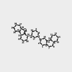 c1cc(-c2ccc3ccc4ccccc4c3c2)cc(-c2cccc3c2oc2ccccc23)c1